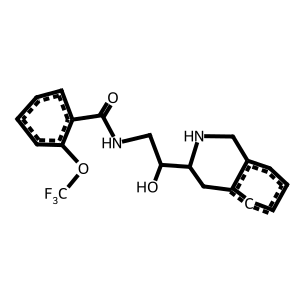 O=C(NCC(O)C1Cc2ccccc2CN1)c1ccccc1OC(F)(F)F